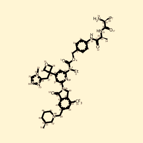 CCN(C(=O)OCc1ccc(NC(=O)[C@H](C)NC(=O)[C@@H](N)C(C)C)cc1)c1cc(C2(Cc3nncn3C)COC2)cc(N2Cc3c(cc(CN4CCC[C@H](C)C4)cc3C(F)(F)F)C2=O)n1